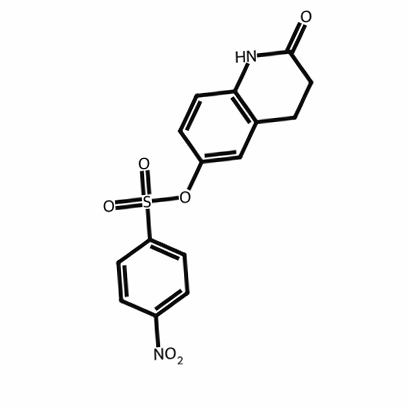 O=C1CCc2cc(OS(=O)(=O)c3ccc([N+](=O)[O-])cc3)ccc2N1